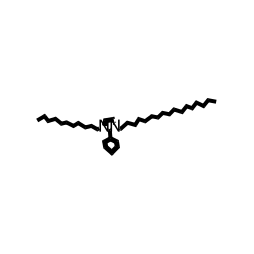 CCCCCCCCCCCCCCCCCn1cc[n+](CCCCCCCCCCC)c1-c1ccccc1